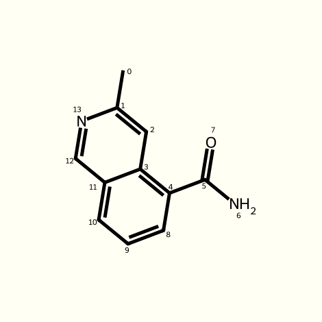 Cc1cc2c(C(N)=O)cccc2cn1